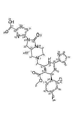 COC(=O)C1=C(CN2CCN3C(=O)N(c4nc(C(=O)O)cs4)C[C@@H]3C2)NC(c2nccs2)=N[C@H]1c1ccc(F)cc1Cl